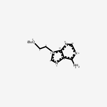 CC(C)COCCn1cnc2c(N)ncnc21